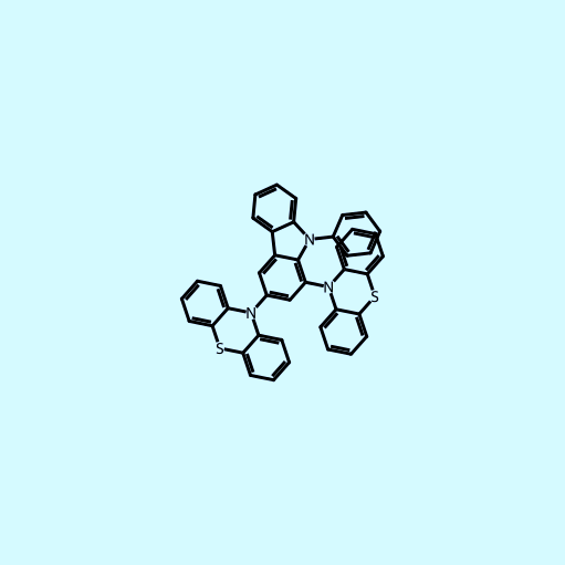 c1ccc(-n2c3ccccc3c3cc(N4c5ccccc5Sc5ccccc54)cc(N4c5ccccc5Sc5ccccc54)c32)cc1